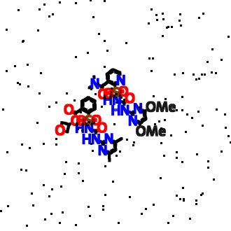 COc1cc(OC)nc(NC(=O)NS(=O)(=O)c2ncccc2C(=O)N(C)C)n1.Cc1cc(C)nc(NC(=O)NS(=O)(=O)c2ccccc2C(=O)OC2COC2)n1